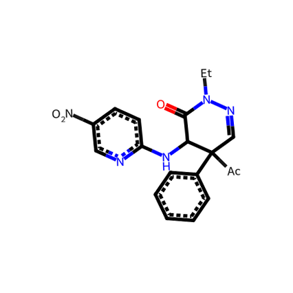 CCN1N=CC(C(C)=O)(c2ccccc2)C(Nc2ccc([N+](=O)[O-])cn2)C1=O